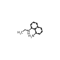 CCNc1cccc2cccc(N)c12